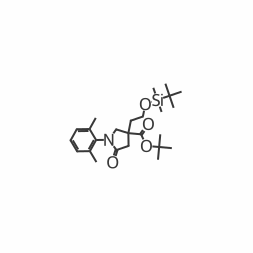 Cc1cccc(C)c1N1CC(CCO[Si](C)(C)C(C)(C)C)(C(=O)OC(C)(C)C)CC1=O